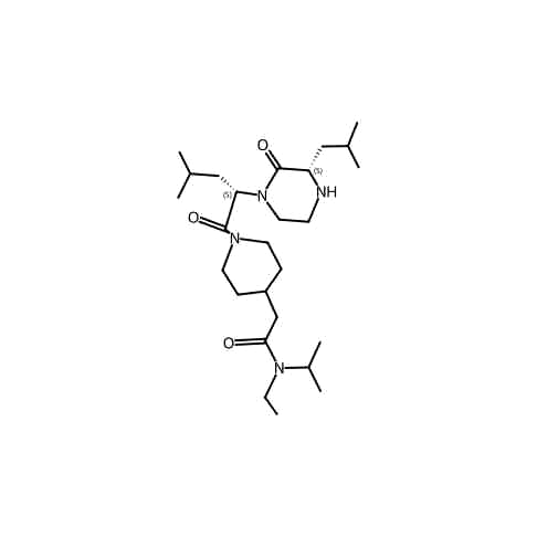 CCN(C(=O)CC1CCN(C(=O)[C@H](CC(C)C)N2CCN[C@@H](CC(C)C)C2=O)CC1)C(C)C